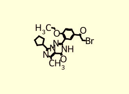 CCOc1ccc(C(=O)CBr)cc1-c1nn2c(C3CCCC3)nc(C)c2c(=O)[nH]1